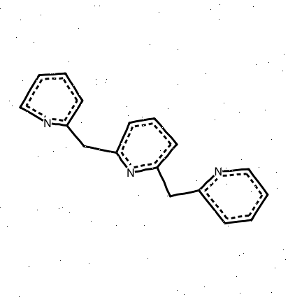 c1ccc(Cc2cccc(Cc3ccccn3)n2)nc1